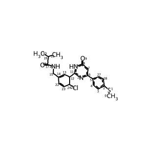 CSc1ccc(-c2cc(=O)[nH]c(C3C=C(CNC(=O)C(C)C)C=CC3Cl)n2)cc1